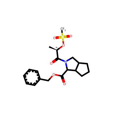 C[C@@H](OS(=O)(=O)C(F)(F)F)C(=O)N1CC2CCCC2C1C(=O)OCc1ccccc1